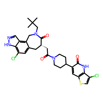 CC(C)(C)CN1Cc2c(cc(Cl)c3[nH]ncc23)C[C@@H](CC(=O)N2CCC(c3cc4scc(Cl)c4[nH]c3=O)CC2)C1=O